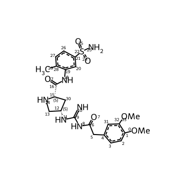 COc1ccc(CC(=O)NC(=N)N[C@@H]2CN[C@H](C(=O)Nc3cc(S(N)(=O)=O)ccc3C)C2)cc1OC